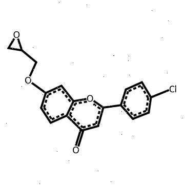 O=c1cc(-c2ccc(Cl)cc2)oc2cc(OCC3CO3)ccc12